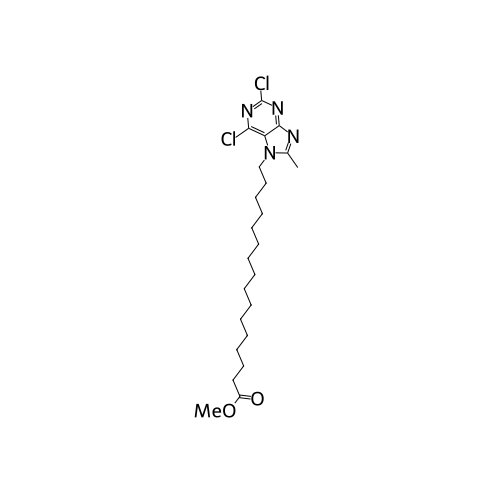 COC(=O)CCCCCCCCCCCCCCCn1c(C)nc2nc(Cl)nc(Cl)c21